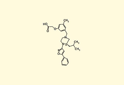 Cc1cc(CN2CCN(c3cc(-c4ccccc4)on3)[C@H](CC(C)C)C2)cc(OCC(=O)O)c1